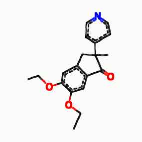 CCOc1cc2c(cc1OCC)C(=O)C(C)(c1ccncc1)C2